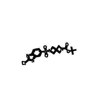 CC(C)(C)OC(=O)N1CC2(C1)CN(S(=O)(=O)c1ccc3nc(Cl)sc3c1)C2